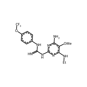 CCNc1nc(NC(=N)Nc2ccc(OC(F)(F)F)cc2)nc(N)c1OC